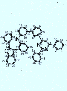 c1ccc(-c2cc(-c3cccc(-c4cccc(N5c6ccccc6-c6oc7ccccc7c6-c6ccccc65)c4)c3)nc(-c3ccccc3)n2)cc1